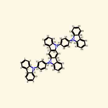 c1ccc2c(c1)c1ccccc1n2-c1ccc(-n2c3ccccc3c3cc4c(cc32)c2ccccc2n4-c2ccc(-n3c4ccccc4c4ccccc43)cc2)cc1